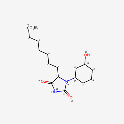 CCOC(=O)CCCCCCC1C(=O)NC(=O)N1C1CCCC(O)C1